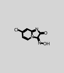 O=C1N=C2C=C(Cl)C=CN2C1=NO